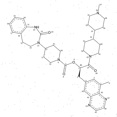 Cc1cc(C[C@@H](OC(=O)N2CCC(N3CCc4ccccc4NC3=O)CC2)C(=O)N2CCC(C3CCN(C)CC3)CC2)cc2nccnc12